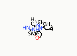 C=C(CC1CC1)N(C1CCOCC1)N(C)C(C)NC(=N)SC